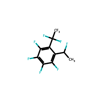 CC(F)c1c(F)c(F)c(F)c(F)c1C(F)(F)C(F)(F)F